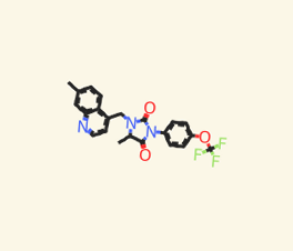 Cc1ccc2c(CN3C(=O)N(c4ccc(OC(F)(F)F)cc4)C(=O)C3C)ccnc2c1